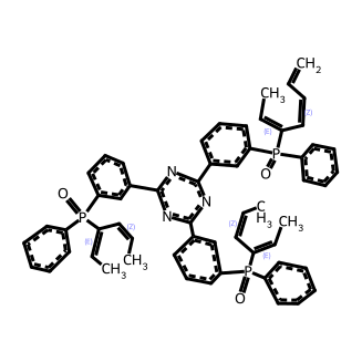 C=C/C=C\C(=C/C)P(=O)(c1ccccc1)c1cccc(-c2nc(-c3cccc(P(=O)(C(/C=C\C)=C/C)c4ccccc4)c3)nc(-c3cccc(P(=O)(C(/C=C\C)=C/C)c4ccccc4)c3)n2)c1